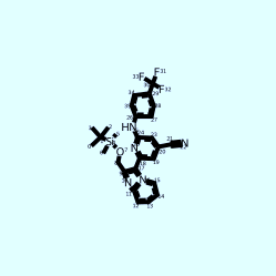 CC(C)(C)[Si](C)(C)OCc1nc2ccccn2c1-c1cc(C#N)cc(Nc2ccc(C(F)(F)F)cc2)n1